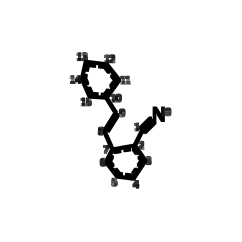 N#Cc1ccccc1/C=C/c1ccccc1